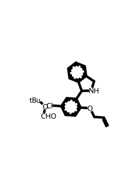 C=CCOc1ccc(Cl)cc1C1NCc2ccccc21.CC(C)(C)OC=O